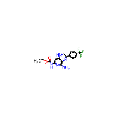 CCOC(=O)Nc1cc2c(c(N)n1)N=C(c1ccc(C(F)(F)F)cc1)CN2